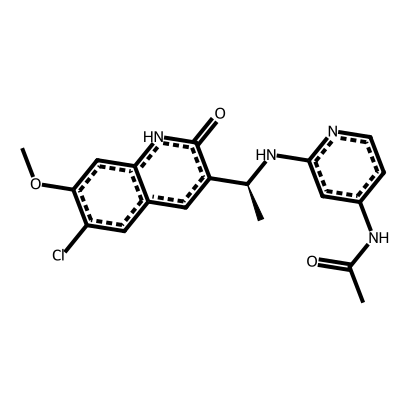 COc1cc2[nH]c(=O)c([C@H](C)Nc3cc(NC(C)=O)ccn3)cc2cc1Cl